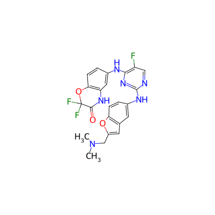 CN(C)Cc1cc2cc(Nc3ncc(F)c(Nc4ccc5c(c4)NC(=O)C(F)(F)O5)n3)ccc2o1